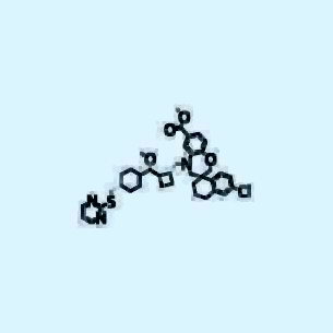 COC(=O)c1ccc2c(c1)N(C[C@@H]1CC[C@H]1[C@@H](OC)C1=CC[C@H](CSc3ncccn3)CC1)C[C@@]1(CCCc3cc(Cl)ccc31)CO2